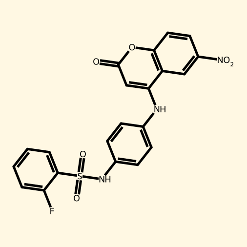 O=c1cc(Nc2ccc(NS(=O)(=O)c3ccccc3F)cc2)c2cc([N+](=O)[O-])ccc2o1